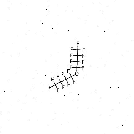 FC(F)(F)C(F)(F)C(F)(F)C(F)(F)OC(F)(F)C(F)(F)C(F)(F)C(F)(F)F